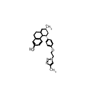 Cc1cn(CCOc2ccc([C@H]3C[C@@H](C)CC4CCc5cc(O)ccc5C43)cc2)nn1